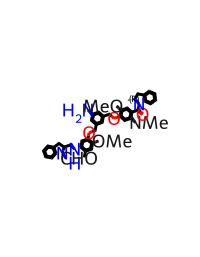 CNc1cc(OCc2cc(N)cc(COc3cc(NCC4Cc5ccccc5N4C=O)c(C)cc3OC)c2)c(OC)cc1C(=O)N1c2ccccc2C[C@H]1C